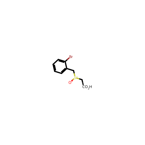 O=C(O)C[S+]([O-])Cc1ccccc1Br